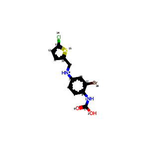 O=C(O)Nc1ccc(NCc2ccc(Cl)s2)cc1Br